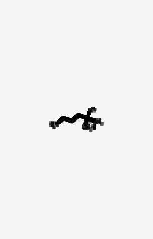 CCC[C@](N)(CCCN)C(=O)O